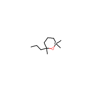 CCCC1(C)CCC[Si](C)(C)O1